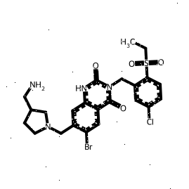 CCS(=O)(=O)c1ccc(Cl)cc1Cn1c(=O)[nH]c2cc(CN3CCC(CN)C3)c(Br)cc2c1=O